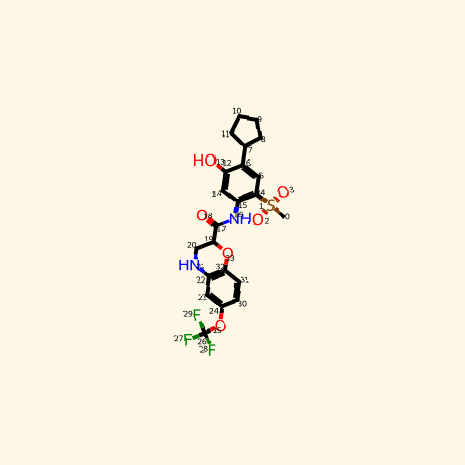 CS(=O)(=O)c1cc(C2CCCC2)c(O)cc1NC(=O)C1CNc2cc(OC(F)(F)F)ccc2O1